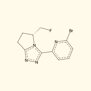 FC[C@H]1CCc2nnc(-c3cccc(Br)n3)n21